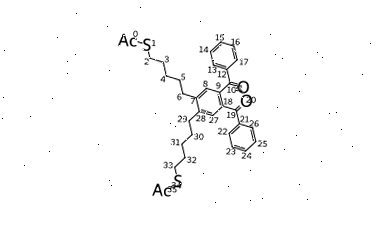 CC(=O)SCCCCCc1cc(C(=O)c2ccccc2)c(C(=O)c2ccccc2)cc1CCCCCSC(C)=O